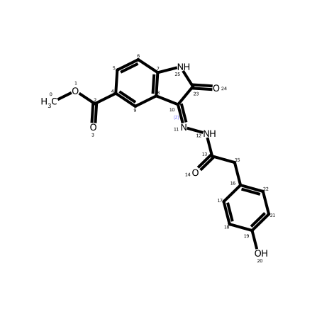 COC(=O)c1ccc2c(c1)/C(=N/NC(=O)Cc1ccc(O)cc1)C(=O)N2